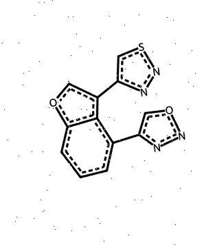 [c]1oc2cccc(-c3conn3)c2c1-c1csnn1